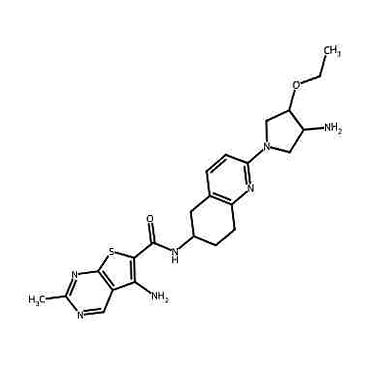 CCOC1CN(c2ccc3c(n2)CCC(NC(=O)c2sc4nc(C)ncc4c2N)C3)CC1N